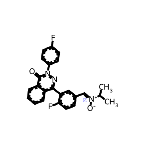 CC(C)/[N+]([O-])=C/c1ccc(F)c(-c2nn(-c3ccc(F)cc3)c(=O)c3ccccc23)c1